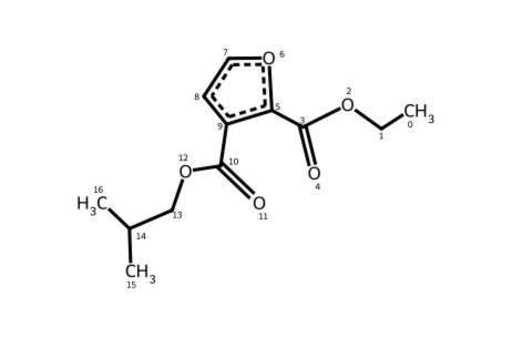 CCOC(=O)c1occc1C(=O)OCC(C)C